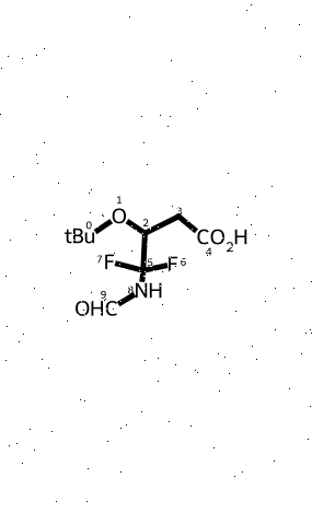 CC(C)(C)OC(CC(=O)O)C(F)(F)NC=O